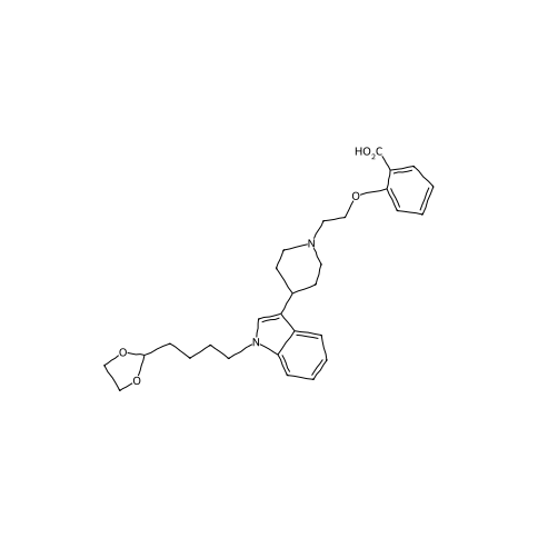 O=C(O)c1ccccc1OCCN1CCC(c2cn(CCCCC3OCCO3)c3ccccc23)CC1